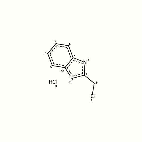 Cl.ClCc1nc2ccccc2s1